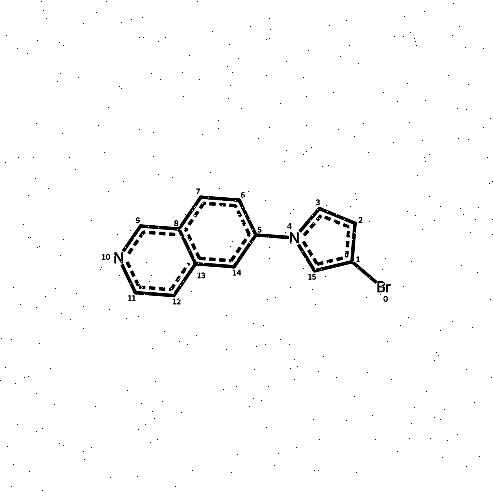 Brc1ccn(-c2ccc3cnccc3c2)c1